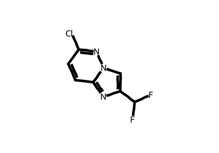 FC(F)c1cn2nc(Cl)ccc2n1